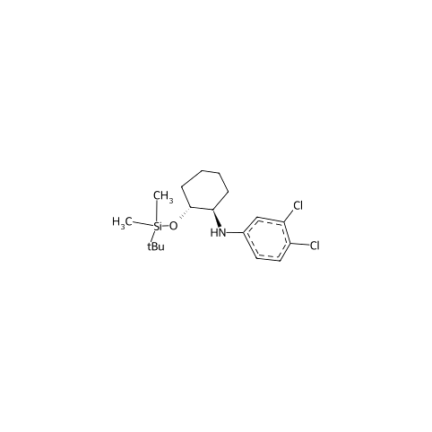 CC(C)(C)[Si](C)(C)O[C@@H]1CCCC[C@H]1Nc1ccc(Cl)c(Cl)c1